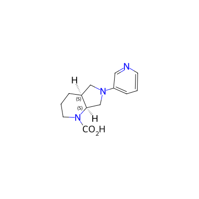 O=C(O)N1CCC[C@H]2CN(c3cccnc3)C[C@H]21